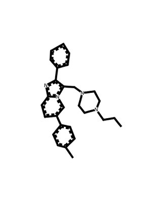 CCCN1CCN(Cc2c(-c3ccccc3)nc3ccc(-c4ccc(C)cc4)cn23)CC1